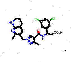 Cc1nc2c(cc1Cn1cc(C(=O)NC(CC(=O)O)c3cc(Cl)cc(Cl)c3)c(C)n1)CCCN2